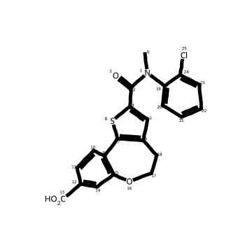 CN(C(=O)c1cc2c(s1)-c1ccc(C(=O)O)cc1OCC2)c1ccccc1Cl